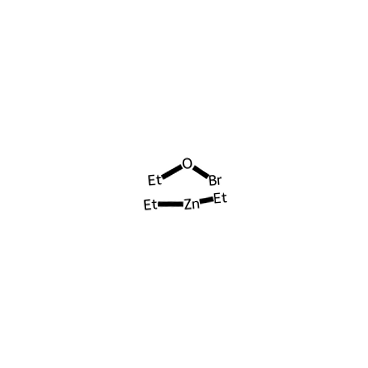 CCOBr.C[CH2][Zn][CH2]C